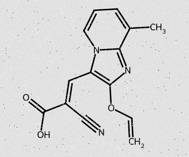 C=COc1nc2c(C)cccn2c1C=C(C#N)C(=O)O